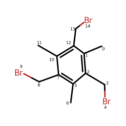 Cc1c(CBr)c(C)c(CBr)c(C)c1CBr